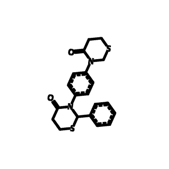 O=C1CCSCN1c1ccc(N2C(=O)CCSC2c2ccccc2)cc1